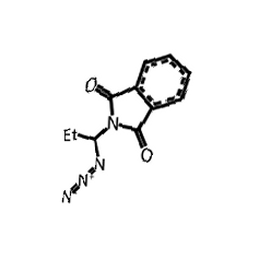 CCC(N=[N+]=[N-])N1C(=O)c2ccccc2C1=O